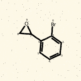 Brc1c[c]ccc1C1CO1